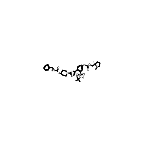 CN1CCC[C@]1(C)COC(=O)Nc1ccc(-c2cnc(N3CCC(OC(=O)NCc4ccccc4)CC3)s2)c(S(=O)(=O)NC(C)(C)C)c1